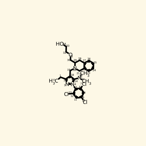 CCc1nn(-c2c(Cl)cc(Cl)cc2Cl)c(N(C)C)c1CN1Cc2ccccc2CC1COCCO